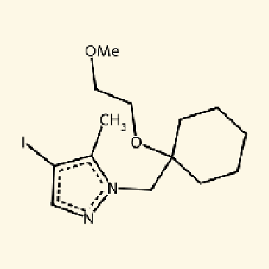 COCCOC1(Cn2ncc(I)c2C)CCCCC1